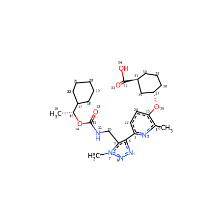 Cc1nc(-c2nnn(C)c2CNC(=O)O[C@H](C)C2CCCCC2)ccc1O[C@H]1CCC[C@H](C(=O)O)C1